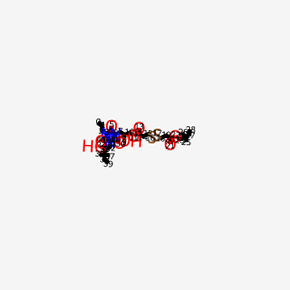 C=CCn1c(=O)n(CC(O)COC(=O)CCSSCCC(=O)OCC(C)(C)CC)c(=O)n(CC(O)C(C)(C)CC)c1=O